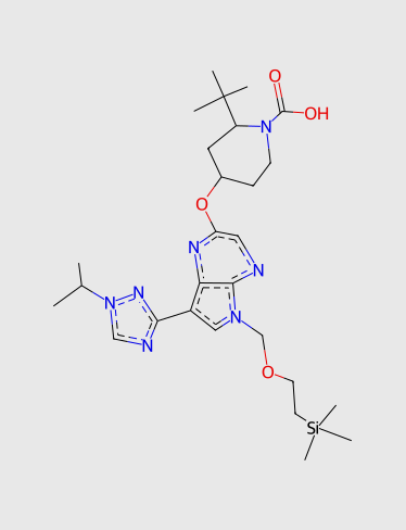 CC(C)n1cnc(-c2cn(COCC[Si](C)(C)C)c3ncc(OC4CCN(C(=O)O)C(C(C)(C)C)C4)nc23)n1